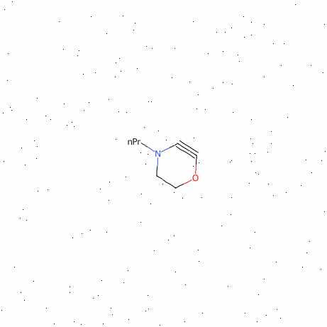 CCCN1C#COCC1